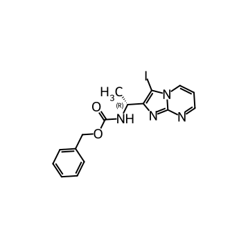 C[C@@H](NC(=O)OCc1ccccc1)c1nc2ncccn2c1I